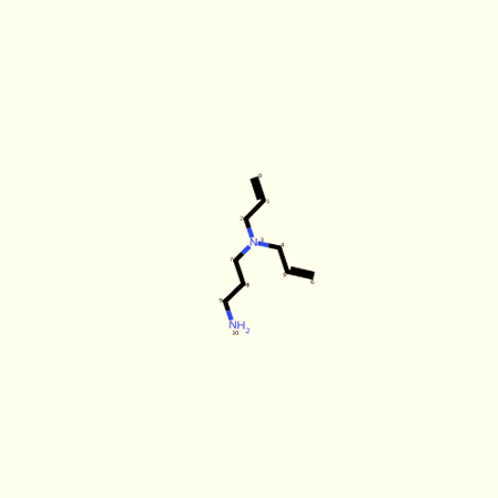 C=CCN(CC=C)CCCN